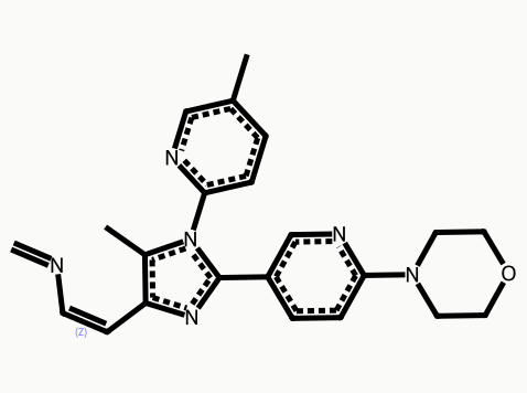 C=N/C=C\c1nc(-c2ccc(N3CCOCC3)nc2)n(-c2ccc(C)cn2)c1C